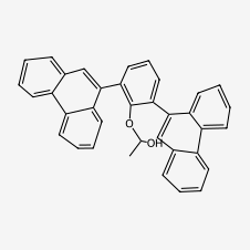 CC(O)Oc1c(-c2cc3ccccc3c3ccccc23)cccc1-c1cc2ccccc2c2ccccc12